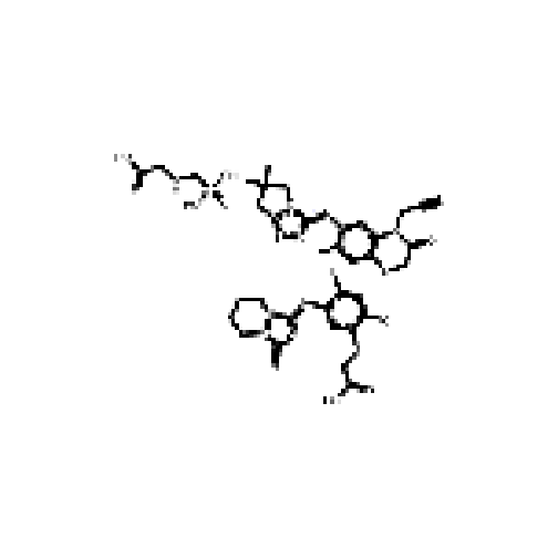 C#CCN1C(=O)COc2cc(F)c(/N=c3\snc4n3CC(C)(C)C4)cc21.O=C(O)CNCP(=O)(O)O.O=C(O)CSc1cc(N=c2sc(=O)n3n2CCCC3)c(F)cc1Cl